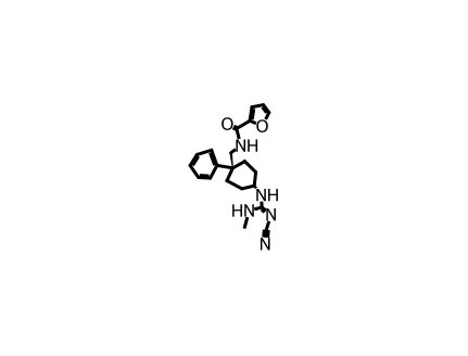 CN/C(=N\C#N)N[C@H]1CC[C@](CNC(=O)c2ccco2)(c2ccccc2)CC1